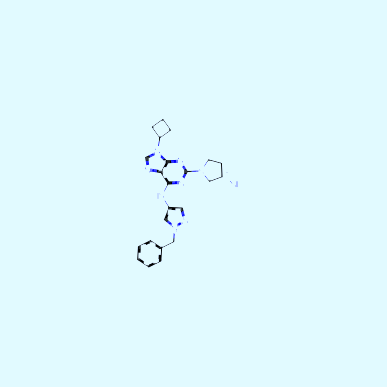 N[C@H]1CCN(c2nc(Nc3cnn(Cc4ccccc4)c3)c3ncn(C4CCC4)c3n2)C1